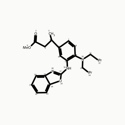 COC(=O)CC(C)c1ccc(N(CC(C)C)CC(C)C)c(Nc2nc3ccccc3o2)c1